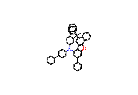 CC1(C)c2ccccc2-c2ccc(N(c3ccc(-c4ccccc4)cc3)c3cc(-c4ccccc4)cc4oc5c6ccccc6c(-c6ccccc6)cc5c34)cc21